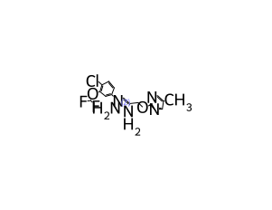 Cc1cnc(OC/C(N)=C/N(N)c2ccc(Cl)c(OC(F)F)c2)nc1